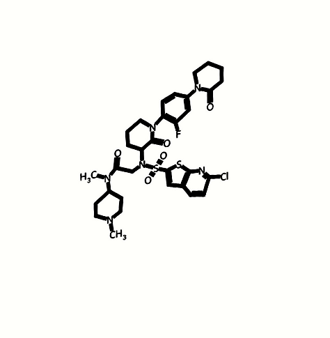 CN1CCC(N(C)C(=O)CN(C2CCCN(c3ccc(N4CCCCC4=O)cc3F)C2=O)S(=O)(=O)c2cc3ccc(Cl)nc3s2)CC1